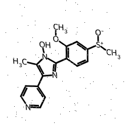 COc1cc([S+](C)[O-])ccc1-c1nc(-c2ccncc2)c(C)n1O